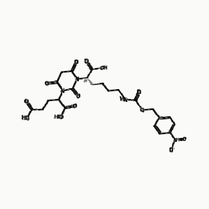 O=C(O)CCC(C(=O)O)N1C(=O)CC(=O)N([C@@H](CCCCNC(=O)OCc2ccc([N+](=O)[O-])cc2)C(=O)O)C1=O